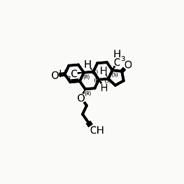 C#CCCO[C@@H]1C[C@@H]2[C@H](CC[C@]3(C)C(=O)CC[C@@H]23)[C@@]2(C)CCC(=O)C=C12